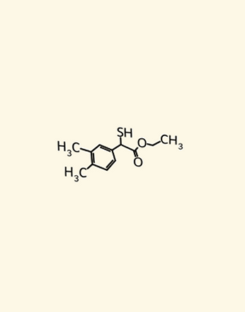 CCOC(=O)C(S)c1ccc(C)c(C)c1